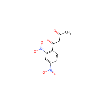 CC(=O)CC(=O)c1ccc([N+](=O)[O-])cc1[N+](=O)[O-]